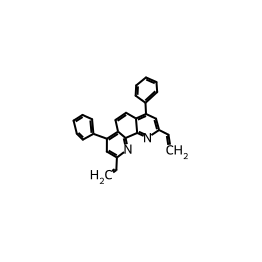 C=Cc1cc(-c2ccccc2)c2ccc3c(-c4ccccc4)cc(C=C)nc3c2n1